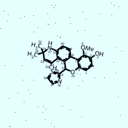 COc1c(O)ccc2c1-c1ccc3c(c1C(c1nccs1)O2)C(C)=CC(C)(C)N3